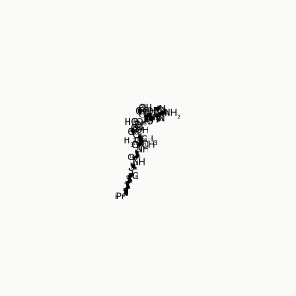 CC(C)CCCCC=CC(=O)SCCNC(=O)CCNC(=O)C(O)C(C)(C)COP(=O)(O)OP(=O)(O)OC[C@H]1O[C@@H](n2cnc3c(N)ncnc32)[C@H](O)[C@@H]1OP(=O)(O)O